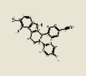 N#Cc1ccc(C2c3[nH]c4ccc(Cl)c(F)c4c3CCN2c2ncc(Cl)cn2)cc1